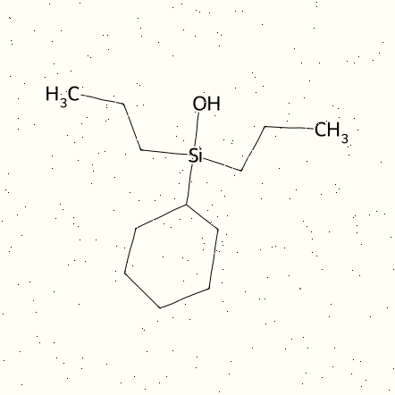 CCC[Si](O)(CCC)C1CCCCC1